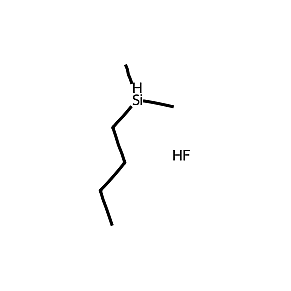 CCCC[SiH](C)C.F